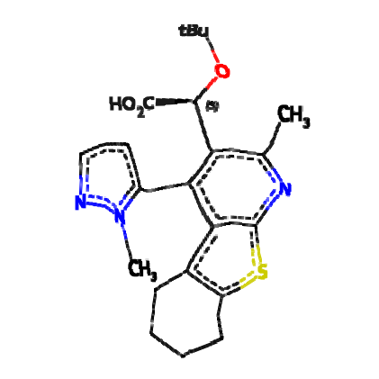 Cc1nc2sc3c(c2c(-c2ccnn2C)c1[C@H](OC(C)(C)C)C(=O)O)CCCC3